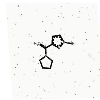 C=C(c1ccn(C(C)C)n1)N1CCCC1